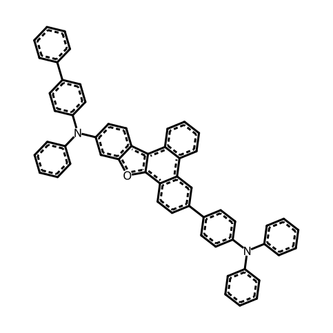 c1ccc(-c2ccc(N(c3ccccc3)c3ccc4c(c3)oc3c5ccc(-c6ccc(N(c7ccccc7)c7ccccc7)cc6)cc5c5ccccc5c43)cc2)cc1